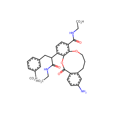 Nc1ccc2c(c1)CCCOc1c(C(=O)NCC(=O)O)ccc(C(Cc3cccc(C(=O)O)c3)C(=O)NCC(=O)O)c1OC2=O